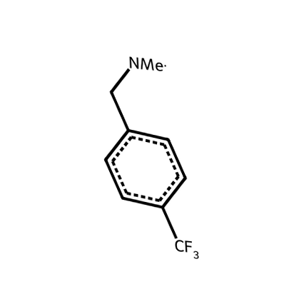 C[N]Cc1ccc(C(F)(F)F)cc1